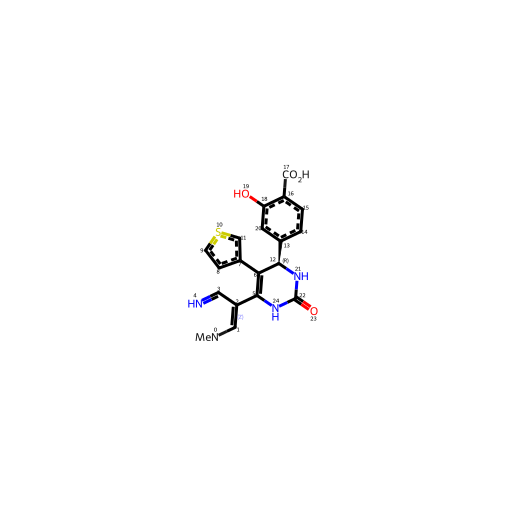 CN/C=C(\C=N)C1=C(c2ccsc2)[C@@H](c2ccc(C(=O)O)c(O)c2)NC(=O)N1